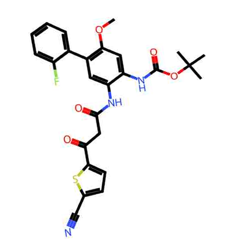 COc1cc(NC(=O)OC(C)(C)C)c(NC(=O)CC(=O)c2ccc(C#N)s2)cc1-c1ccccc1F